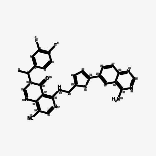 CC(c1ccc(F)c(F)c1)n1cnc2c(C#N)cnc(NCc3ccc(-c4ccc5ncnc(N)c5c4)s3)c2c1=O